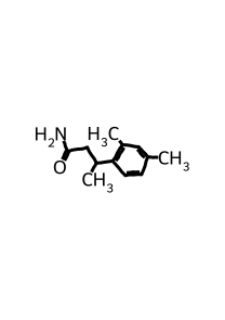 Cc1ccc(C(C)CC(N)=O)c(C)c1